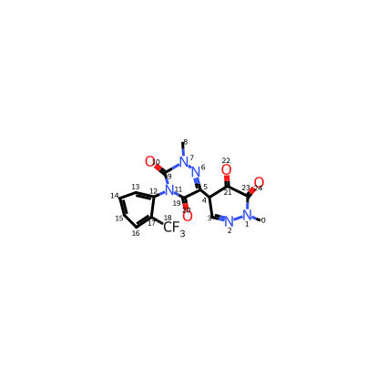 CN1N=CC(c2nn(C)c(=O)n(-c3ccccc3C(F)(F)F)c2=O)C(=O)C1=O